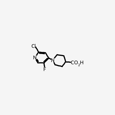 O=C(O)C1CCN(c2cc(Cl)ncc2F)CC1